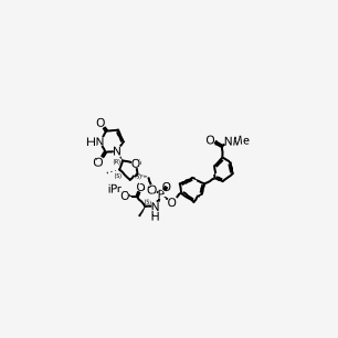 CNC(=O)c1cccc(-c2ccc(OP(=O)(N[C@@H](C)C(=O)OC(C)C)OC[C@@H]3C[C@H](C)[C@H](n4ccc(=O)[nH]c4=O)O3)cc2)c1